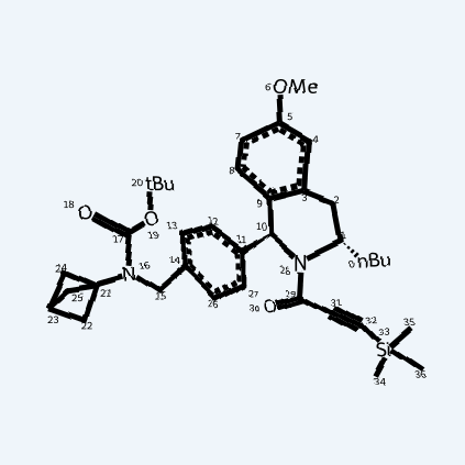 CCCC[C@H]1Cc2cc(OC)ccc2[C@H](c2ccc(CN(C(=O)OC(C)(C)C)C34CC(C3)C4)cc2)N1C(=O)C#C[Si](C)(C)C